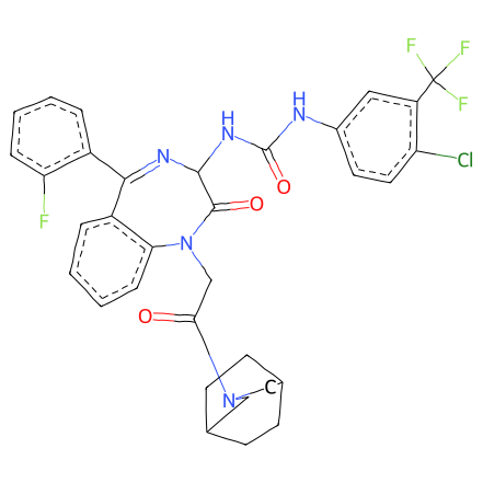 O=C(Nc1ccc(Cl)c(C(F)(F)F)c1)NC1N=C(c2ccccc2F)c2ccccc2N(CC(=O)N2CC3CCC(CC3)C2)C1=O